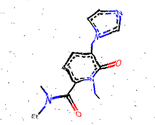 CCN(C)C(=O)c1ccc(-n2ccnc2)c(=O)n1C